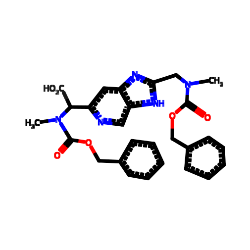 CN(Cc1nc2cc(C(C(=O)O)N(C)C(=O)OCc3ccccc3)ncc2[nH]1)C(=O)OCc1ccccc1